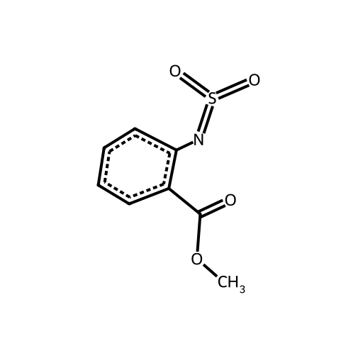 COC(=O)c1ccccc1N=S(=O)=O